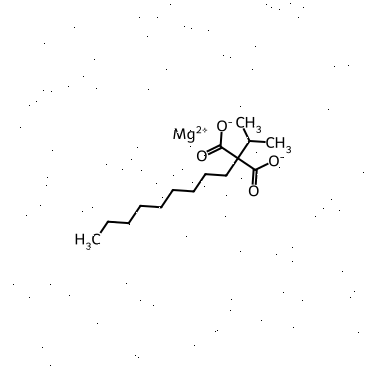 CCCCCCCCCC(C(=O)[O-])(C(=O)[O-])C(C)C.[Mg+2]